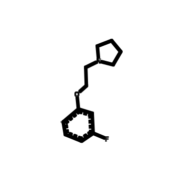 Fc1cc[c]c(OCCN2CCCC2)c1